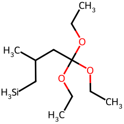 CCOC(CC(C)C[SiH3])(OCC)OCC